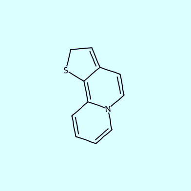 C1=CC2=C3SCC=C3C=CN2C=C1